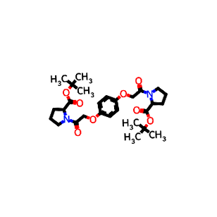 CC(C)(C)OC(=O)C1CCCN1C(=O)COc1ccc(OCC(=O)N2CCCC2C(=O)OC(C)(C)C)cc1